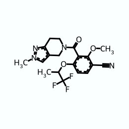 COc1c(C#N)ccc(OC(C)C(F)(F)F)c1C(=O)N1CCc2nn(C)cc2C1